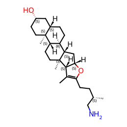 CC1=C(CC[C@H](C)CN)O[C@H]2C[C@H]3[C@@H]4CC[C@H]5C[C@@H](O)CC[C@]5(C)[C@H]4CC[C@]3(C)[C@@H]12